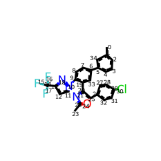 Cc1cccc(-c2ccc(-n3ccc(C(F)(F)F)n3)c(-c3nc(C)oc3-c3ccc(Cl)cc3)c2)c1